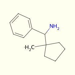 [CH2]C1(C(N)c2ccccc2)CCCC1